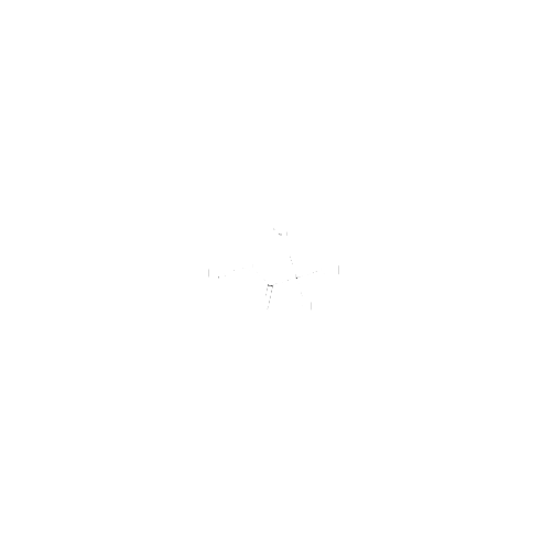 [BH3-]OC(=O)C(C)(C)C.[Na+]